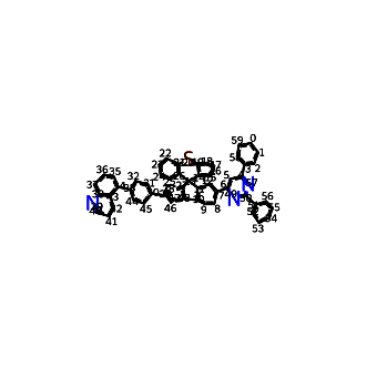 c1ccc(-c2cc(-c3ccc4c(c3)C3(c5ccccc5Sc5ccccc53)c3cc(-c5ccc(-c6cccc7ncccc67)cc5)ccc3-4)nc(-c3ccccc3)n2)cc1